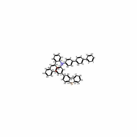 c1ccc(-c2ccc(-c3ccc(N(c4cccc(-c5ccc6sc7ccccc7c6c5)c4)c4ccccc4-c4ccc5ccccc5c4)cc3)cc2)cc1